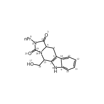 CCCN1C(=O)C2Cc3c([nH]c4ccccc34)C(CO)N2C1=O